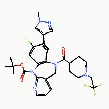 Cn1cc(-c2cc3c(cc2F)N(C(=O)OC(C)(C)C)c2ncccc2CN3C(=O)C2CCN(CC(F)(F)F)CC2)cn1